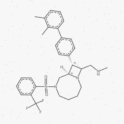 CNCC1[C@@H](c2ccc(-c3cccc(C)c3C)cc2)[C@@H]2CN(S(=O)(=O)c3ccccc3C(F)(F)F)CCCCN12